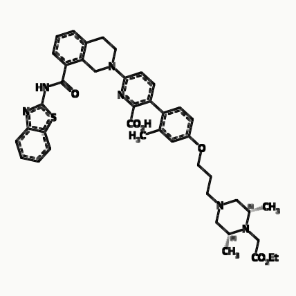 CCOC(=O)CN1[C@H](C)CN(CCCOc2ccc(-c3ccc(N4CCc5cccc(C(=O)Nc6nc7ccccc7s6)c5C4)nc3C(=O)O)c(C)c2)C[C@@H]1C